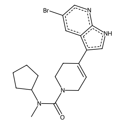 CN(C(=O)N1CC=C(c2c[nH]c3ncc(Br)cc23)CC1)C1CCCC1